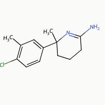 Cc1cc(C2(C)CCCC(N)=N2)ccc1Cl